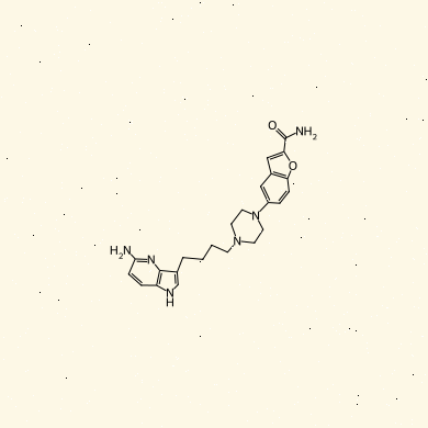 NC(=O)c1cc2cc(N3CCN(CCCCc4c[nH]c5ccc(N)nc45)CC3)ccc2o1